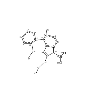 CCCC1=Cc2c(ccc(C)c2-c2ccccc2CC)[CH]1[Zr]([Cl])[Cl]